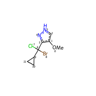 COc1c[nH]nc1C(Cl)(Br)C1CC1